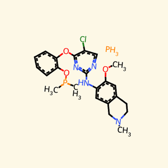 COc1cc2c(cc1Nc1ncc(Cl)c(Oc3ccccc3OP(C)C)n1)CN(C)CC2.P